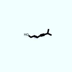 CC(C)C#C/C=C/CO